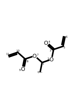 [CH2]C(OC(=O)C=C)OC(=O)C=C